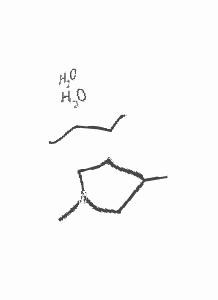 CC1CCN(C)C1.CCCC.O.O